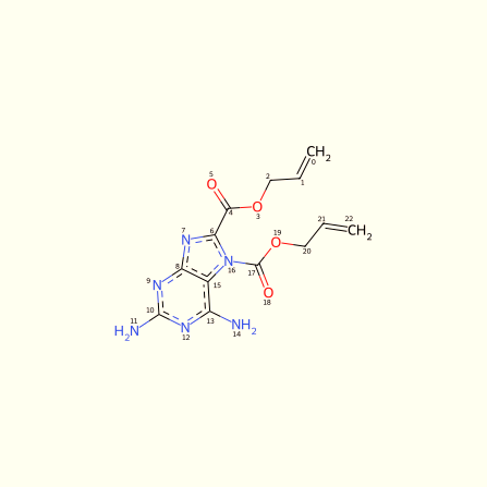 C=CCOC(=O)c1nc2nc(N)nc(N)c2n1C(=O)OCC=C